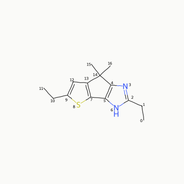 CCc1nc2c([nH]1)-c1sc(CC)cc1C2(C)C